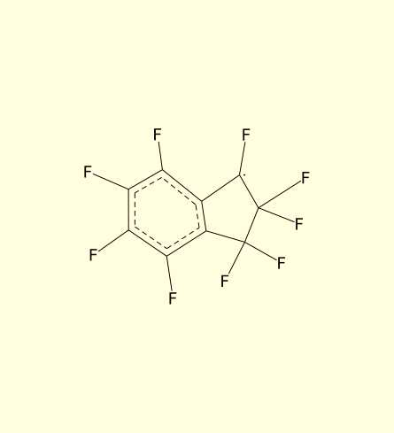 F[C]1c2c(F)c(F)c(F)c(F)c2C(F)(F)C1(F)F